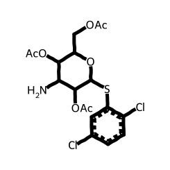 CC(=O)OCC1OC(Sc2cc(Cl)ccc2Cl)C(OC(C)=O)C(N)C1OC(C)=O